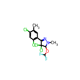 Cc1cc(C2=NN(C)C(OC(F)F)C2(Cl)Cl)c(Cl)cc1Cl